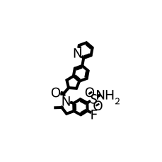 CC1Cc2cc(F)c(S(N)(=O)=O)cc2N1C(=O)C1Cc2ccc(-c3ccccn3)cc2C1